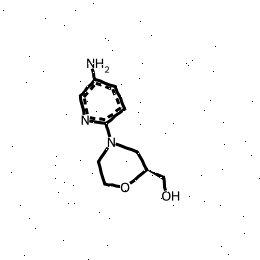 Nc1ccc(N2CCO[C@H](CO)C2)nc1